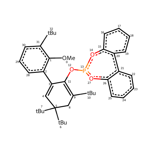 COc1c(C2=CC(C(C)(C)C)(C(C)(C)C)CC(C(C)(C)C)=C2Op2oc3ccccc3c3ccccc3o2)cccc1C(C)(C)C